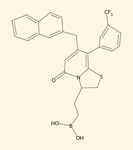 O=c1cc(Cc2ccc3ccccc3c2)c(-c2cccc(C(F)(F)F)c2)c2n1C(CCB(O)O)CS2